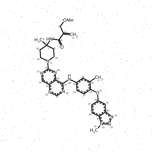 C=C(COC)C(=O)NC1(C)CCN(c2ncc3ncnc(Nc4ccc(Oc5ccc6c(c5)nnn6C)c(C)c4)c3n2)CC1